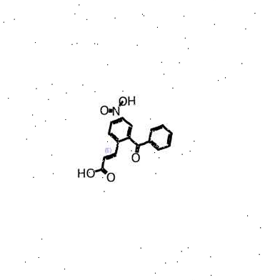 O=C(O)/C=C/c1ccccc1C(=O)c1ccccc1.O=NO